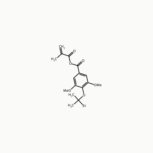 C=C(C)C(=O)OC(=O)c1cc(OC)c(OC(C)(C)CC)c(OC)c1